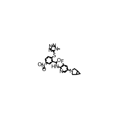 Cn1nnnc1Sc1ccc([N+](=O)[O-])cc1C(=O)Nc1ncc(N2CC3CC3C2)cc1F